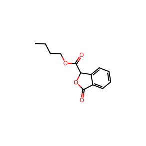 CCCCOC(=O)C1OC(=O)c2ccccc21